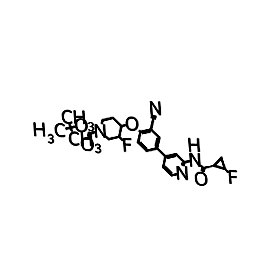 CC(C)(C)OC(=O)N1CCC(Oc2ccc(-c3ccnc(NC(=O)[C@H]4C[C@H]4F)c3)cc2C#N)C(F)C1